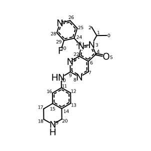 CC(C)n1c(=O)c2cnc(Nc3ccc4c(c3)CCNC4)nc2n1-c1ccncc1F